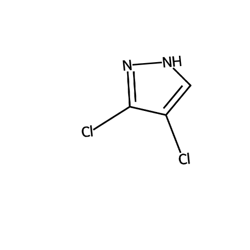 Clc1c[nH]nc1Cl